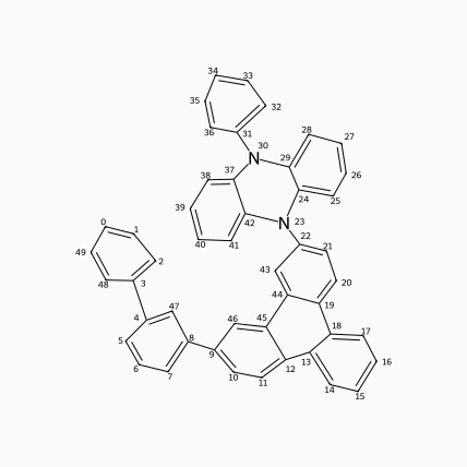 c1ccc(-c2cccc(-c3ccc4c5ccccc5c5ccc(N6c7ccccc7N(c7ccccc7)c7ccccc76)cc5c4c3)c2)cc1